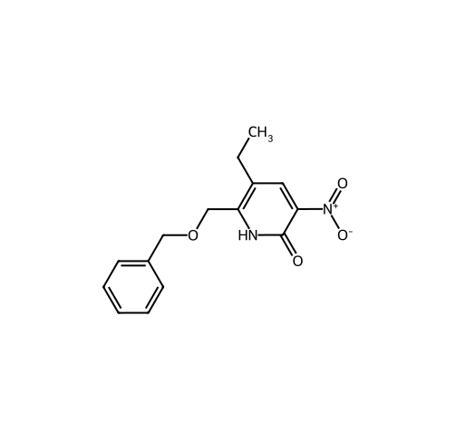 CCc1cc([N+](=O)[O-])c(=O)[nH]c1COCc1ccccc1